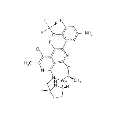 Cc1nc2c3c(nc(-c4cc(N)cc(F)c4OC(F)(F)F)c(F)c3c1Cl)O[C@@H](C)[C@@H]1[C@@H]3CC[C@H](CN21)N3